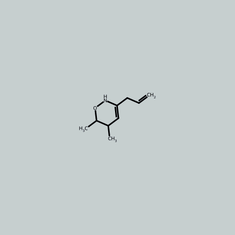 C=CCC1=CC(C)C(C)ON1